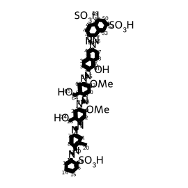 COc1cc(N=Nc2ccc(N=Nc3ccccc3S(=O)(=O)O)c(C)c2)c(CO)cc1N=Nc1cc(OC)c(N=Nc2ccc3cc(-n4nc5ccc6c(S(=O)(=O)O)cc(S(=O)(=O)O)cc6c5n4)ccc3c2O)cc1CO